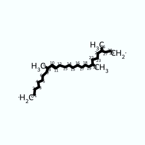 [CH2]CCCCCCCC(C)/C=C/CCCCCCCCC(C)CCCC(C)CC[CH2]